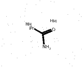 CC(C)C(N)=O.[HH].[HH]